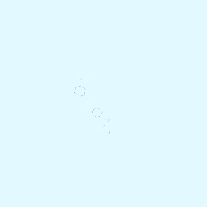 C=CC(=O)Nc1ccc(OCc2cc(C(=O)OC)ccc2Cl)c(F)c1